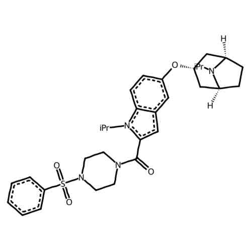 CC(C)N1[C@@H]2CC[C@H]1C[C@H](Oc1ccc3c(c1)cc(C(=O)N1CCN(S(=O)(=O)c4ccccc4)CC1)n3C(C)C)C2